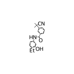 CCc1ccc(NC(=O)c2cccc(C(C)(C)C#N)c2)cc1O